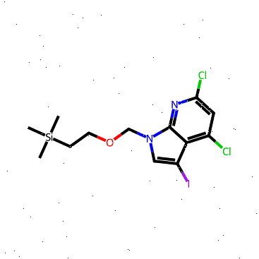 C[Si](C)(C)CCOCn1cc(I)c2c(Cl)cc(Cl)nc21